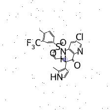 C=C/C=C(/C(=O)c1ncc(Cl)cc1NS(=O)(=O)c1ccc(C)c(C(F)(F)F)c1)c1cc[nH]c1C